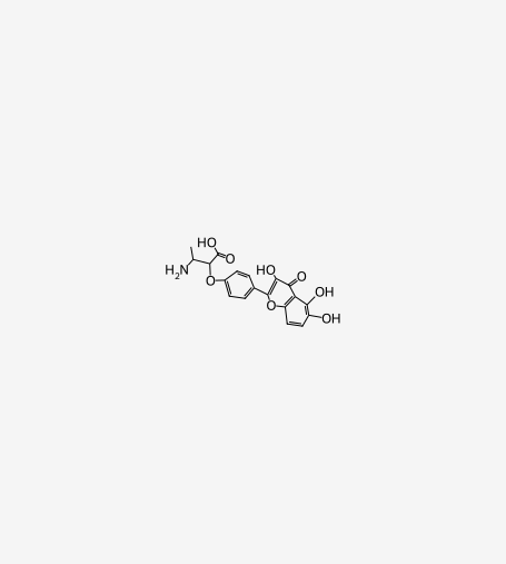 CC(N)C(Oc1ccc(-c2oc3ccc(O)c(O)c3c(=O)c2O)cc1)C(=O)O